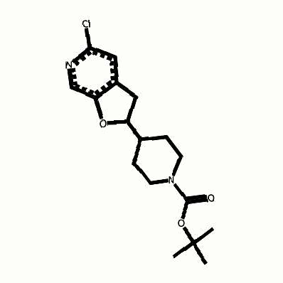 CC(C)(C)OC(=O)N1CCC(C2Cc3cc(Cl)ncc3O2)CC1